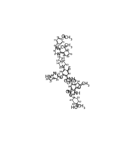 COc1ccc(CN2CCN(C3CC4(CCN(c5cc(Oc6cnc7[nH]ccc7c6)c(C(=O)NS(=O)(=O)c6cc([N+](=O)[O-])c(NC[C@H]7CC[C@](C)(O)CC7)c7oc(C)cc67)cc5F)CC4)C3)[C@H](c3ccccc3C(C)C)C2)cc1